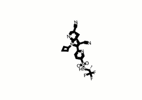 C[C@@H](NS(=O)(=O)c1ccc(-c2c(C#N)c3cc(C#N)cnc3n2C2CCC2)nc1)C(F)(F)F